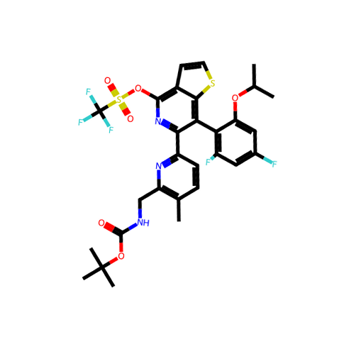 Cc1ccc(-c2nc(OS(=O)(=O)C(F)(F)F)c3ccsc3c2-c2c(F)cc(F)cc2OC(C)C)nc1CNC(=O)OC(C)(C)C